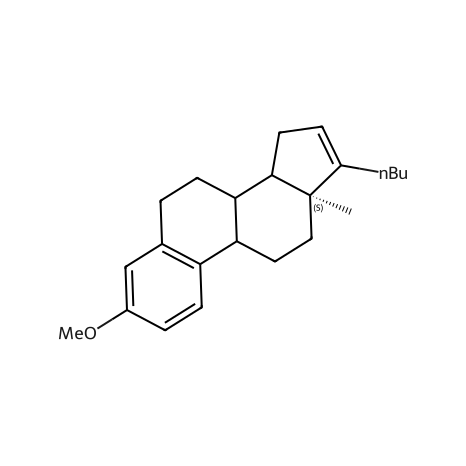 CCCCC1=CCC2C3CCc4cc(OC)ccc4C3CC[C@]12C